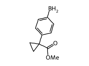 Bc1ccc(C2(C(=O)OC)CC2)cc1